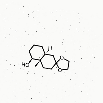 C[C@]12CCC3(C[C@@H]1CCC[C@@H]2O)OCCO3